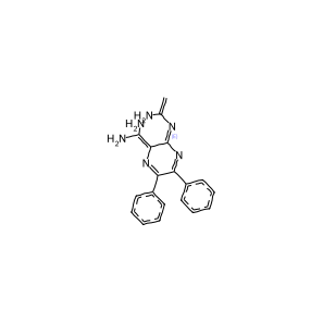 C=C(N)/N=C1/N=C(c2ccccc2)C(c2ccccc2)=NC1=C(N)N